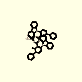 CC1C(c2nc(-c3cc(-c4ccccc4)ccc3-n3c4ccccc4c4ccccc43)nc(C(C)(C)C)n2)=C(n2c3ccccc3c3ccccc32)C=CC1c1ccccc1